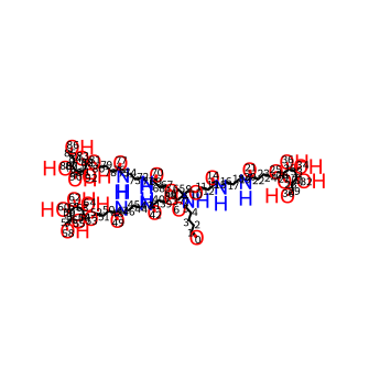 O=CCCCC(=O)NC(COCCC(=O)NCCCNC(=O)CCCO[C@@H]1OC(CO)[C@@H](O)C(O)C1O)(COCCC(=O)NCCCNC(=O)CCCO[C@@H]1OC(CO)[C@@H](O)C(O)C1O)COCCC(=O)NCCCNC(=O)CCCO[C@@H]1OC(CO)[C@@H](O)C(O)C1O